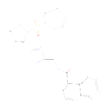 O=C(NCc1noc([C@@H]2CCCN2S(=O)(=O)C2CCCCC2)n1)c1cccc2ccccc12